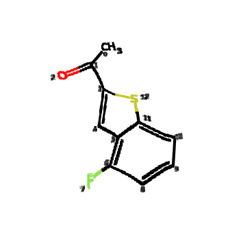 CC(=O)c1cc2c(F)cccc2s1